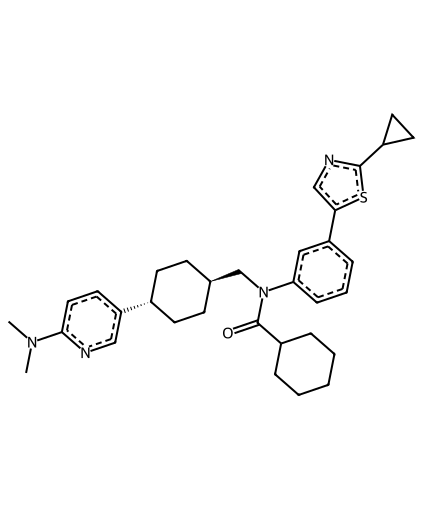 CN(C)c1ccc([C@H]2CC[C@H](CN(C(=O)C3CCCCC3)c3cccc(-c4cnc(C5CC5)s4)c3)CC2)cn1